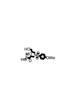 COc1ccc(S(=O)(=O)N(CCC(=O)NO)CC(O)CO)cc1